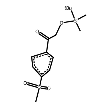 CC(C)(C)[Si](C)(C)OCC(=O)c1ccc(S(C)(=O)=O)cc1